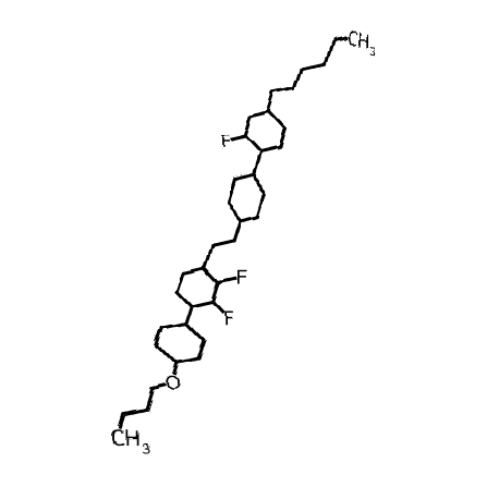 CCCCCCC1CCC(C2CCC(CCC3CCC(C4CCC(OCCCC)CC4)C(F)C3F)CC2)C(F)C1